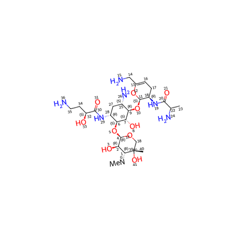 CN[C@@H]1[C@@H](O)[C@@H](O[C@@H]2[C@@H](O)[C@H](O[C@H]3OC(CN)=CC[C@H]3NC(=O)C(C)N)[C@@H](N)C[C@H]2NC(=O)[C@@H](O)CCN)OC[C@]1(C)O